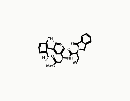 COC(=O)C[C@H](NC(=O)C(CC(C)C)N1Cc2ccccc2C1=O)c1cncc(-c2c(C)cccc2C)c1